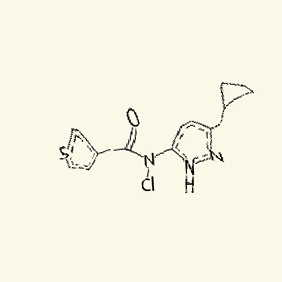 O=C(c1ccsc1)N(Cl)c1cc(C2CC2)n[nH]1